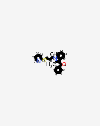 Cc1c(C(=O)c2ccccc2)c2ccccc2n1C(C)CCSc1ccccn1